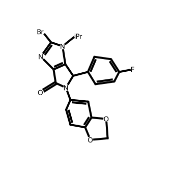 CC(C)n1c(Br)nc2c1C(c1ccc(F)cc1)N(c1ccc3c(c1)OCO3)C2=O